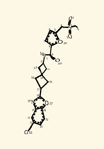 CS(=O)(=O)Cc1ccc(C(=O)NC2CC3(C2)CC(c2nc4cc(Cl)ccc4o2)C3)o1